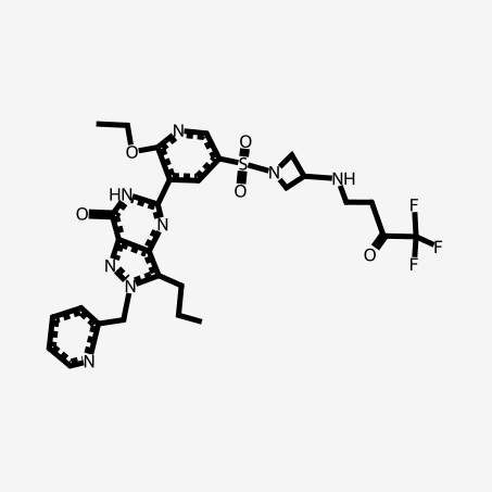 CCCc1c2nc(-c3cc(S(=O)(=O)N4CC(NCCC(=O)C(F)(F)F)C4)cnc3OCC)[nH]c(=O)c2nn1Cc1ccccn1